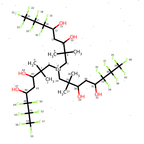 CC(C)([CH2][Eu]([CH2]C(C)(C)C(O)CC(O)C(F)(F)C(F)(F)C(F)(F)F)[CH2]C(C)(C)C(O)CC(O)C(F)(F)C(F)(F)C(F)(F)F)C(O)CC(O)C(F)(F)C(F)(F)C(F)(F)F